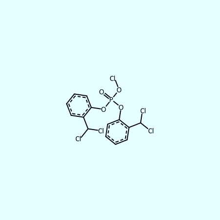 O=P(OCl)(Oc1ccccc1C(Cl)Cl)Oc1ccccc1C(Cl)Cl